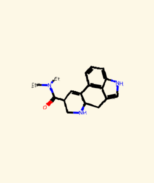 CCN(CC)C(=O)C1C=C2c3cccc4[nH]cc(c34)CC2NC1